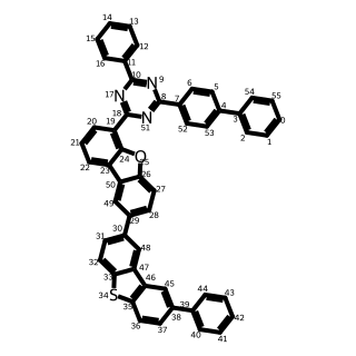 c1ccc(-c2ccc(-c3nc(-c4ccccc4)nc(-c4cccc5c4oc4ccc(-c6ccc7sc8ccc(-c9ccccc9)cc8c7c6)cc45)n3)cc2)cc1